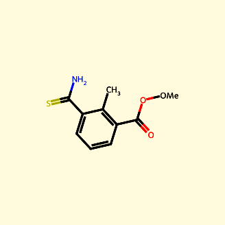 COOC(=O)c1cccc(C(N)=S)c1C